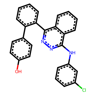 Oc1ccc(-c2ccccc2-c2nnc(Nc3cccc(Cl)c3)c3ccccc23)cc1